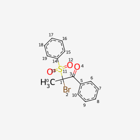 CC(Br)(C(=O)c1ccccc1)S(=O)(=O)c1ccccc1